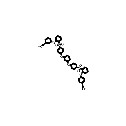 C#Cc1ccc(Oc2ccccc2S(=O)(=O)c2ccc(Oc3cccc(Oc4ccc(S(=O)(=O)c5ccccc5Oc5cccc(C#C)c5)cc4)c3)cc2)cc1